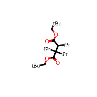 CC(C)C(C(=O)OCC(C)(C)C)C(C(=O)OCC(C)(C)C)(C(C)C)C(C)C